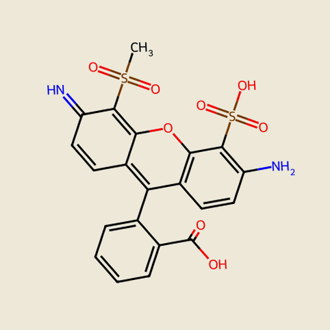 CS(=O)(=O)c1c2oc3c(S(=O)(=O)O)c(N)ccc3c(-c3ccccc3C(=O)O)c-2ccc1=N